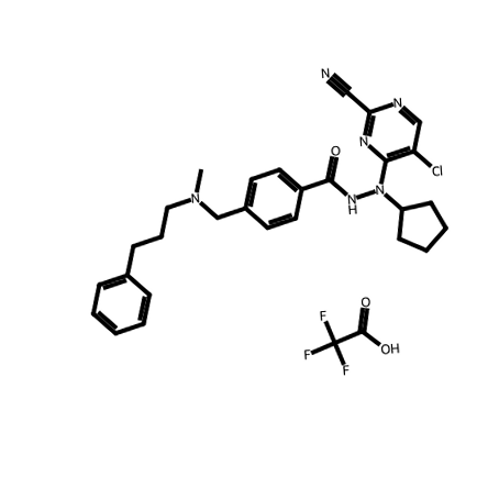 CN(CCCc1ccccc1)Cc1ccc(C(=O)NN(c2nc(C#N)ncc2Cl)C2CCCC2)cc1.O=C(O)C(F)(F)F